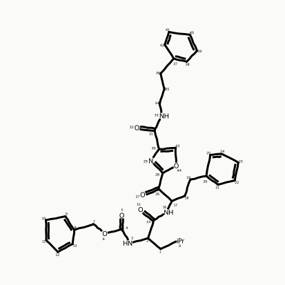 CC(C)CC(NC(=O)OCc1ccccc1)C(=O)NC(CCc1ccccc1)C(=O)c1nc(C(=O)NCCCc2ccccc2)co1